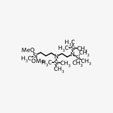 CO[Si](C)(CCCN(CCN([Si](C)(C)C)[Si](C)(C)C)[Si](C)(C)C)OC